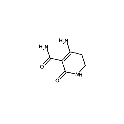 NC(=O)C1=C(N)CCNC1=O